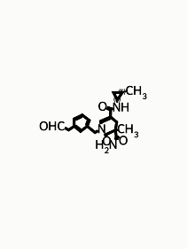 C[C@H]1C[C@@H]1NC(=O)C1=CN(Cc2cccc(CC=O)c2)C(=O)C(C)(C(N)=O)C1